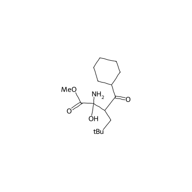 COC(=O)C(N)(O)C(CC(C)(C)C)C(=O)C1CCCCC1